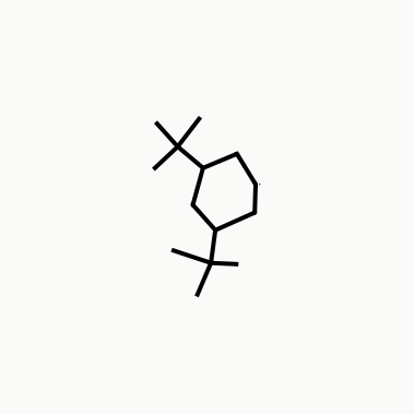 CC(C)(C)C1C[CH]CC(C(C)(C)C)C1